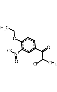 CCOc1ccc(C(=O)C(C)Cl)cc1[N+](=O)[O-]